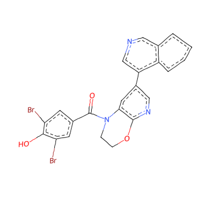 O=C(c1cc(Br)c(O)c(Br)c1)N1CCOc2ncc(-c3cncc4ccccc34)cc21